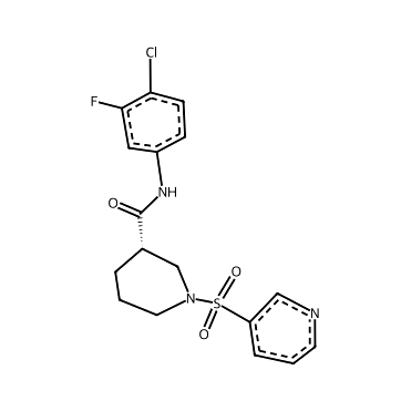 O=C(Nc1ccc(Cl)c(F)c1)[C@H]1CCCN(S(=O)(=O)c2cccnc2)C1